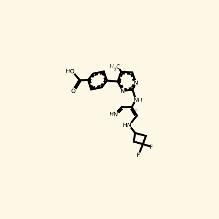 Cc1cnc(N/C(C=N)=C/NC2CC(F)(F)C2)nc1-c1ccc(C(=O)O)cc1